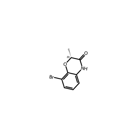 C[C@H]1Oc2c(Br)cccc2NC1=O